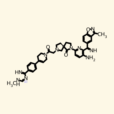 CN/C=N\C(=N)c1ccc(C2=CCN(C(=O)CN3CC[C@]4(CCN(c5ccc(N)c(C(=N)c6ccc7onc(C)c7c6)n5)C4=O)C3)CC2)cc1